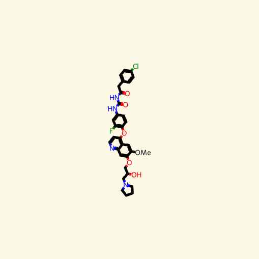 COc1cc2c(Oc3ccc(NC(=O)NC(=O)Cc4ccc(Cl)cc4)cc3F)ccnc2cc1OCC(O)CN1CCCC1